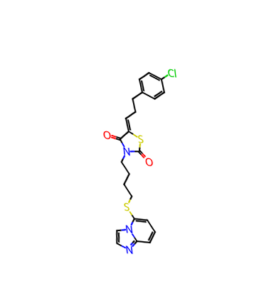 O=C1SC(=CCCc2ccc(Cl)cc2)C(=O)N1CCCCSc1cccc2nccn12